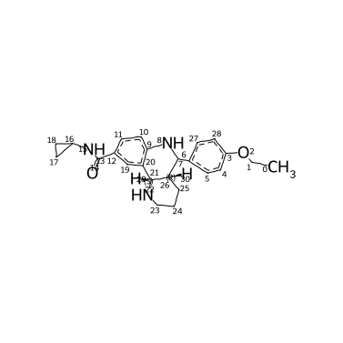 CCOc1ccc(C2Nc3ccc(C(=O)NC4CC4)cc3[C@H]3NCCC[C@@H]23)cc1